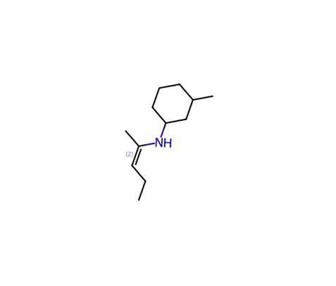 CC/C=C(/C)NC1CCCC(C)C1